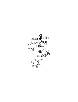 COP(=O)(OCC(C)C)C(O)C(CC1CCCCC1)NC(=O)[C@H](CC(C)C)NC(=O)CCc1ccccc1